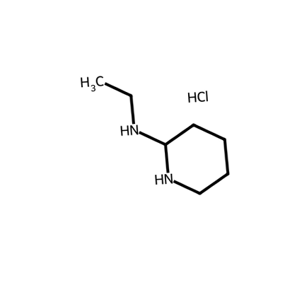 CCNC1CCCCN1.Cl